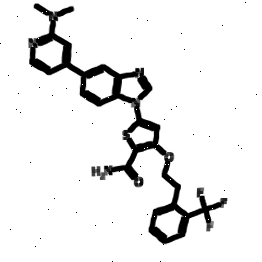 CN(C)c1cc(-c2ccc3c(c2)ncn3-c2cc(OCCc3ccccc3C(F)(F)F)c(C(N)=O)s2)ccn1